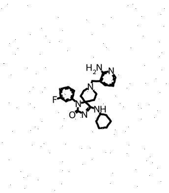 Nc1ncccc1CN1CCC2(CC1)C(NC1CCCCC1)=NC(=O)N2c1cccc(F)c1